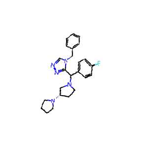 Fc1ccc(C(c2nncn2Cc2ccccc2)N2CC[C@H](N3CCCC3)C2)cc1